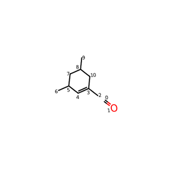 C=O.CC1=CC(C)CC(C)C1